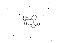 C[SiH](C)OC=C1C=CC=CC1C1C(=O)C=CC1C(C)(C)C